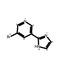 Brc1cncc(-c2ncc[nH]2)c1